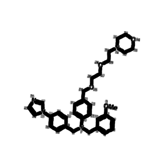 COc1cccc(CN(Cc2ccc(-n3ccnc3)cc2)c2ccc(COCCOCCN3CCOCC3)cc2)c1